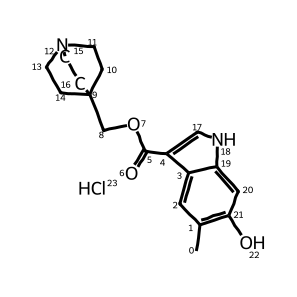 Cc1cc2c(C(=O)OCC34CCN(CC3)CC4)c[nH]c2cc1O.Cl